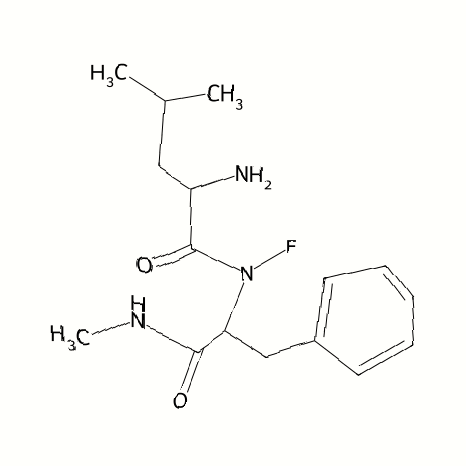 CNC(=O)C(Cc1ccccc1)N(F)C(=O)C(N)CC(C)C